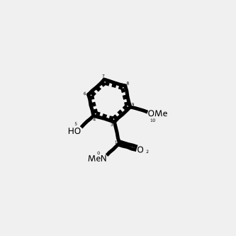 CNC(=O)c1c(O)cccc1OC